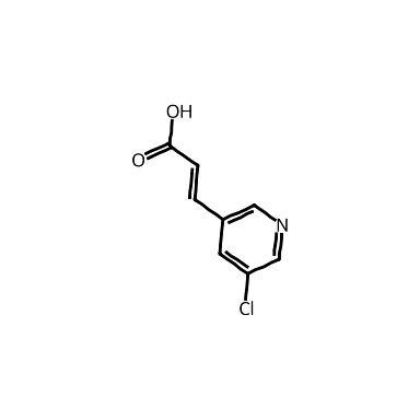 O=C(O)/C=C/c1cncc(Cl)c1